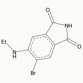 CCNc1cc2c(cc1Br)C(=O)NC2=O